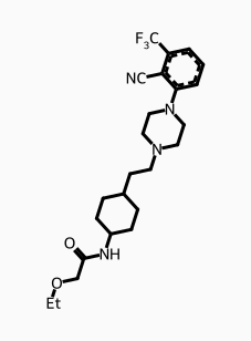 CCOCC(=O)NC1CCC(CCN2CCN(c3cccc(C(F)(F)F)c3C#N)CC2)CC1